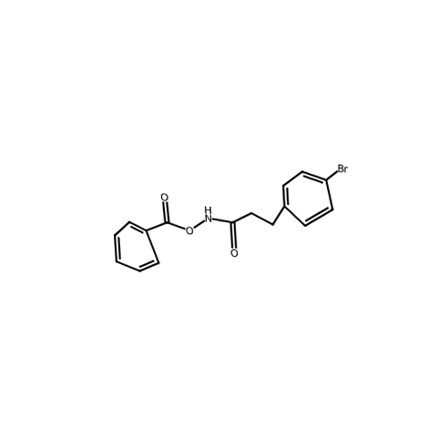 O=C(CCc1ccc(Br)cc1)NOC(=O)c1ccccc1